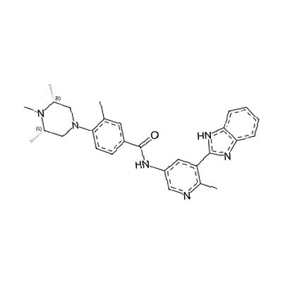 Cc1cc(C(=O)Nc2cnc(C)c(-c3nc4ccccc4[nH]3)c2)ccc1N1C[C@@H](C)N(C)[C@@H](C)C1